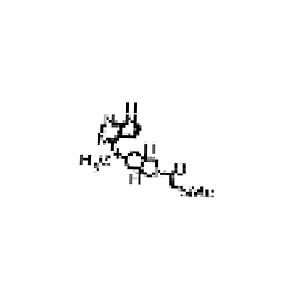 CSCC(=O)N1C[C@H]2CC(N(C)c3ncnc4[nH]ccc34)C[C@H]2C1